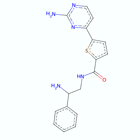 Nc1nccc(-c2ccc(C(=O)NCC(N)c3ccccc3)s2)n1